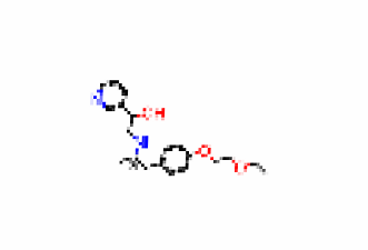 CCOCCOc1ccc(C[C@@H](C)NCC(O)c2cccnc2)cc1